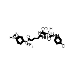 O=C(Nc1ccc(Cl)cc1)Nc1[nH]c(CCCC(=O)N(c2ccc3[nH]cnc3c2)C(F)(F)F)nc1C(=O)O